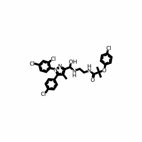 Cc1c(C(O)NCCNC(=O)C(C)(C)Oc2ccc(Cl)cc2)nn(-c2ccc(Cl)cc2Cl)c1-c1ccc(Cl)cc1